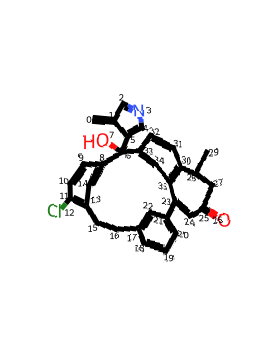 C=C1C=NC=C1C1(O)c2ccc(Cl)c(c2)CCc2cccc(c2)C2=CC(=O)CC(C)c3ccc1cc32